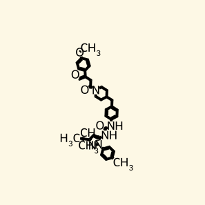 COc1ccc2c(CC(=O)N3CCC(Cc4ccc(NC(=O)Nc5cc(C(C)(C)C)nn5-c5ccc(C)cc5)cc4)CC3)coc2c1